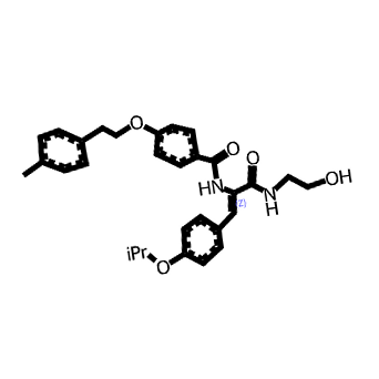 Cc1ccc(CCOc2ccc(C(=O)N/C(=C\c3ccc(OC(C)C)cc3)C(=O)NCCO)cc2)cc1